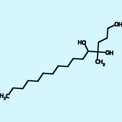 CCCCCCCCCCCC(O)C(C)(O)CCCO